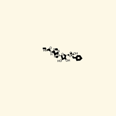 CCNC(=O)Nc1ncnc2c1ncn2[C@@H]1O[C@H](COP(=O)(O)Cc2ccccc2)C(O)[C@@H]1O